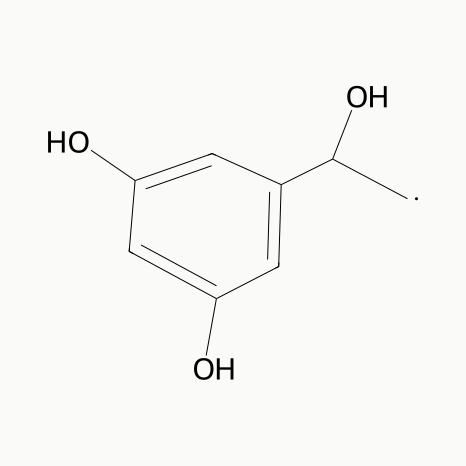 [CH2]C(O)c1cc(O)cc(O)c1